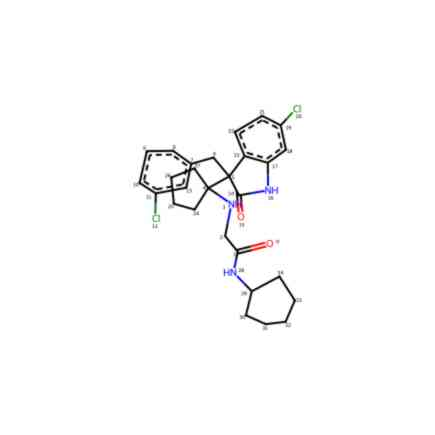 O=C(CNC1(C2(Cc3cccc(Cl)c3)C(=O)Nc3cc(Cl)ccc32)CCCC1)NC1CCCCC1